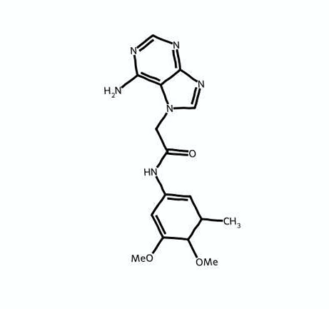 COC1=CC(NC(=O)Cn2cnc3ncnc(N)c32)=CC(C)C1OC